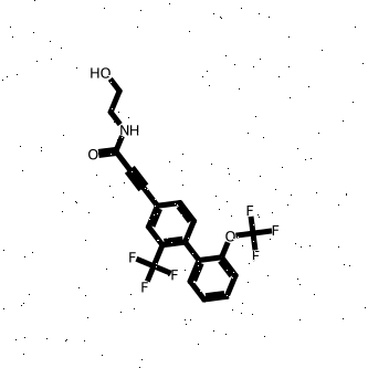 O=C(C#Cc1ccc(-c2ccccc2OC(F)(F)F)c(C(F)(F)F)c1)NCCO